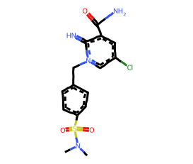 CN(C)S(=O)(=O)c1ccc(Cn2cc(Cl)cc(C(N)=O)c2=N)cc1